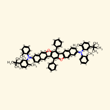 Cc1ccccc1N(c1ccc2cc3c(cc2c1)oc1c(-c2ccccc2)c2c(oc4cc5cc(N(c6ccccc6C)c6cc(C(C)(C)C)ccc6C)ccc5cc42)c(-c2ccccc2)c13)c1cc(C(C)(C)C)ccc1C